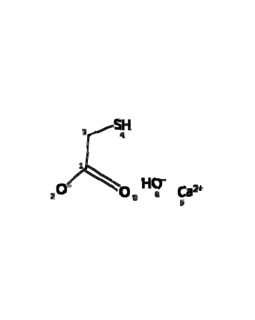 O=C([O-])CS.[Ca+2].[OH-]